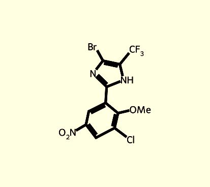 COc1c(Cl)cc([N+](=O)[O-])cc1-c1nc(Br)c(C(F)(F)F)[nH]1